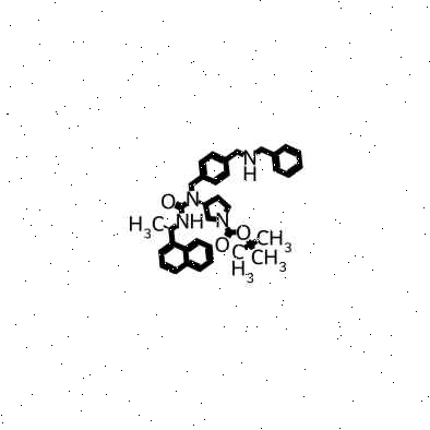 C[C@H](NC(=O)N(Cc1ccc(CNCc2ccccc2)cc1)[C@H]1CCN(C(=O)OC(C)(C)C)C1)c1cccc2ccccc12